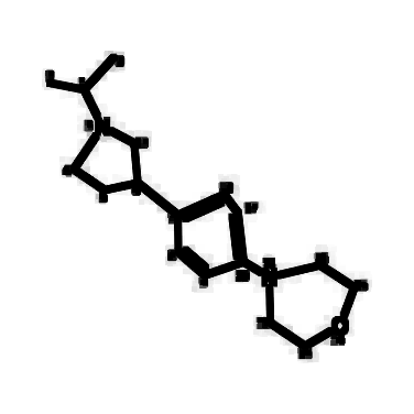 CC(C)N1CCC(c2ccc(N3CCOCC3)cc2)C1